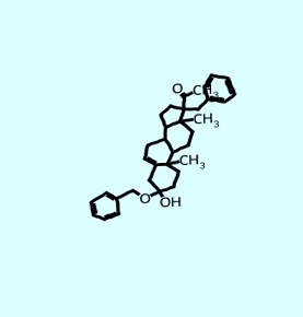 CC(=O)C1(Cc2ccccc2)CCC2C3CC=C4CC(O)(OCc5ccccc5)CCC4(C)C3CCC21C